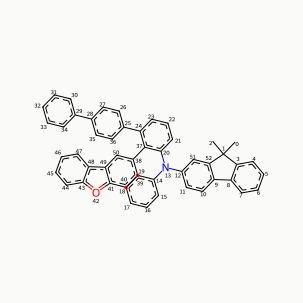 CC1(C)c2ccccc2-c2ccc(N(c3ccccc3)c3cccc(-c4ccc(-c5ccccc5)cc4)c3-c3ccc4oc5ccccc5c4c3)cc21